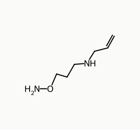 C=CCNCCCON